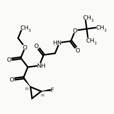 CCOC(=O)C(NC(=O)CNC(=O)OC(C)(C)C)C(=O)[C@@H]1C[C@@H]1F